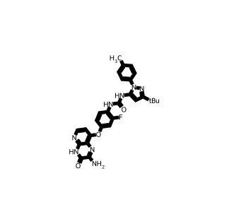 Cc1ccc(-n2nc(C(C)(C)C)cc2NC(=O)Nc2ccc(Oc3ccnc4[nH]c(=O)c(N)nc34)cc2F)cc1